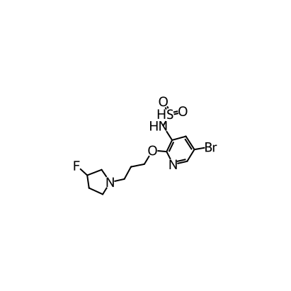 O=[SH](=O)Nc1cc(Br)cnc1OCCCN1CCC(F)C1